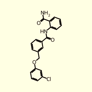 NC(=O)c1ccccc1NC(=O)c1cccc(COc2cccc(Cl)c2)c1